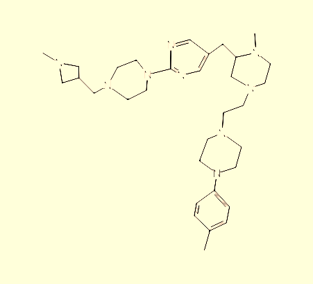 Cc1ccc(N2CCN(CCN3CCN(C)C(Cc4cnc(N5CCN(CC6CN(C)C6)CC5)nc4)C3)CC2)cc1